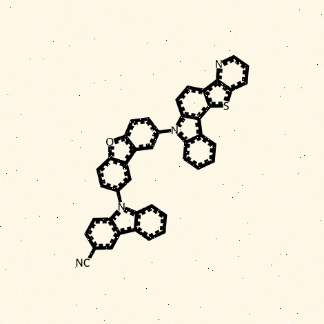 N#Cc1ccc2c(c1)c1ccccc1n2-c1ccc2oc3ccc(-n4c5ccccc5c5c6sc7cccnc7c6ccc54)cc3c2c1